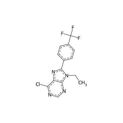 CCn1c(-c2ccc(C(F)(F)F)cc2)nc2c(Cl)ncnc21